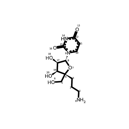 NCCC[C@]1(CO)O[C@@H](n2ccc(=O)[nH]c2=O)[C@H](O)[C@@H]1O